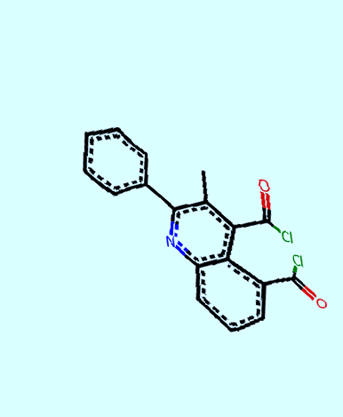 Cc1c(-c2ccccc2)nc2cccc(C(=O)Cl)c2c1C(=O)Cl